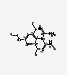 CCOc1cc(CC)c(N(C(=N)N)C(=O)NC)c(CC)c1